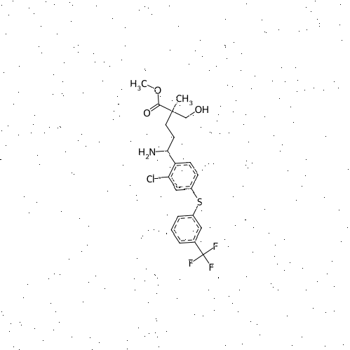 COC(=O)C(C)(CO)CCC(N)c1ccc(Sc2cccc(C(F)(F)F)c2)cc1Cl